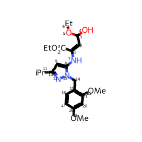 CCOC(=O)/C(=C\C(O)OCC)Nc1cc(C(C)C)nn1Cc1ccc(OC)cc1OC